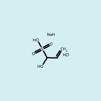 C=CC(O)S(=O)(=O)O.Cl.[NaH]